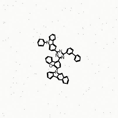 c1ccc(-c2cccc(-c3nc(-c4ccc5c(c4)c4ccccc4n5-c4ccccc4)nc(-c4ccc(-n5c6ccccc6c6cc7ccccc7cc65)c5oc6ccccc6c45)n3)c2)cc1